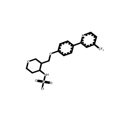 CCS(=O)(=O)NC1CCOCC1COc1ccc(-c2cc(C(F)(F)F)ccn2)cc1